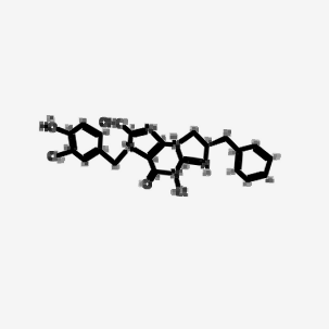 CCN1C(=O)c2c(nc(C=O)n2Cc2ccc(O)c(Cl)c2)N2C[C@@H](Cc3ccccc3)N=C12